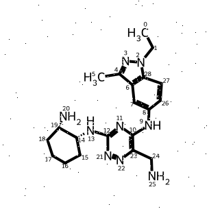 CCn1nc(C)c2cc(Nc3nc(N[C@@H]4CCCC[C@@H]4N)nnc3CN)ccc21